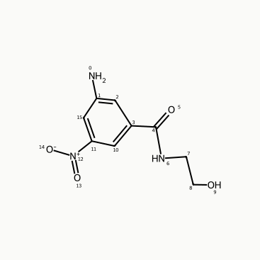 Nc1cc(C(=O)NCCO)cc([N+](=O)[O-])c1